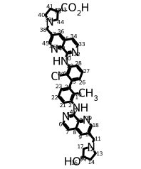 Cc1c(Nc2nccc3cc(CN4CC[C@@H](O)C4)cnc23)cccc1-c1cccc(Nc2nccc3cc(CN4CC[C@@H](C(=O)O)C4)cnc23)c1Cl